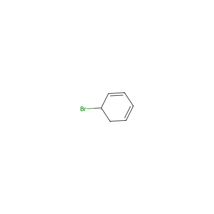 Br[C]1C=CC=CC1